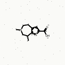 CC1CN(C)CCc2cc(C(=O)O)sc21